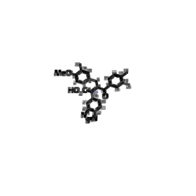 COc1ccc(C/C(C(=O)c2ccc(C)c(C)c2)=C(\C(=O)O)c2ccc3nsnc3c2)cc1C